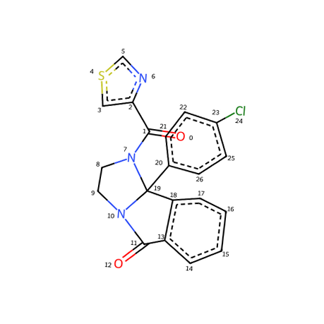 O=C(c1cscn1)N1CCN2C(=O)c3ccccc3C12c1ccc(Cl)cc1